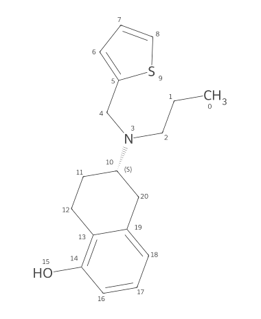 CCCN(Cc1cccs1)[C@H]1CCc2c(O)cccc2C1